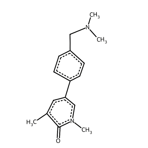 Cc1cc(-c2ccc(CN(C)C)cc2)cn(C)c1=O